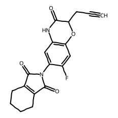 C#CCC1Oc2cc(F)c(N3C(=O)C4=C(CCCC4)C3=O)cc2NC1=O